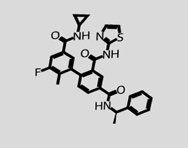 Cc1c(F)cc(C(=O)NC2CC2)cc1-c1ccc(C(=O)N[C@H](C)c2ccccc2)cc1C(=O)Nc1nccs1